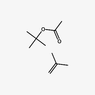 C=C(C)C.CC(=O)OC(C)(C)C